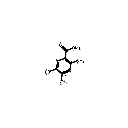 Bc1cc(C(=O)OC)c(C)cc1C